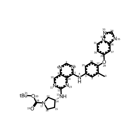 Cc1cc(Nc2ncnc3cnc(N[C@@H]4CCN(C(=O)OC(C)(C)C)C4)nc23)ccc1Oc1ccn2ncnc2c1